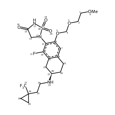 COCCOCOc1cc2c(c(F)c1N1CC(=O)NS1(=O)=O)C[C@H](NCCC1(C(F)(F)F)CC1)CC2